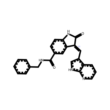 O=C1Nc2ccc(C(=O)NCc3ccccc3)cc2/C1=C\c1c[nH]c2ncccc12